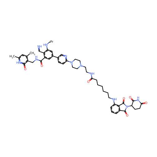 Cc1cc(C)c(CNC(=O)c2cc(-c3ccc(N4CCN(CCNC(=O)CCCCCCNc5cccc6c5C(=O)N(C5CCC(=O)NC5=O)C6=O)CC4)nc3)cc(NC(C)C)c2C=N)c(=O)[nH]1